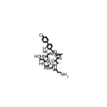 Cc1noc(C(=O)[C@H](C)NC(=O)[C@H](CCCCN)NC(=O)[C@H](C)NC(=O)[C@@H](NC(=O)[C@H](CN)NC(=O)c2ccc(-c3ccc(Cl)cc3)cc2)[C@@H](C)O)n1